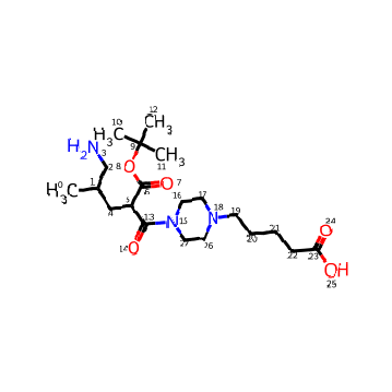 CC(CN)CC(C(=O)OC(C)(C)C)C(=O)N1CCN(CCCCC(=O)O)CC1